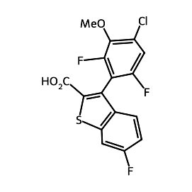 COc1c(Cl)cc(F)c(-c2c(C(=O)O)sc3cc(F)ccc23)c1F